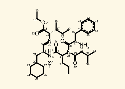 CCC[C@@H](C(=O)[NH+]([O-])[C@H](C=N[C@H](C(=O)OCC)C(C)CC)CC1CCCCC1)N(C(=O)CC(C)C)C(=O)[C@@H](N)Cc1ccccc1